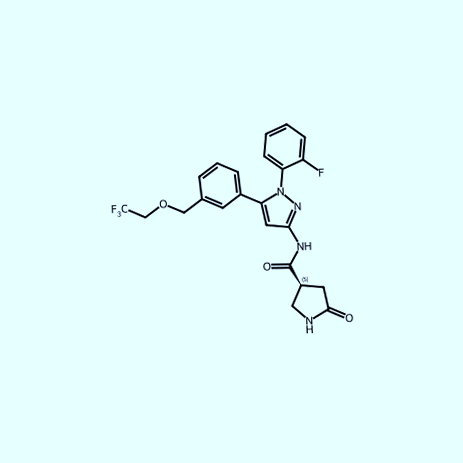 O=C1C[C@H](C(=O)Nc2cc(-c3cccc(COCC(F)(F)F)c3)n(-c3ccccc3F)n2)CN1